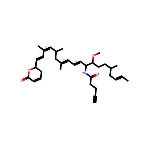 C#CCCC(=O)NC(/C=C/C=C(\C)CC(C)/C=C(C)\C=C\C1CC=CC(=O)O1)C(CCC(C)C/C=C/C)OC